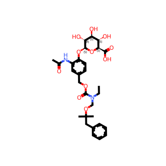 CCN(COC(C)(C)Cc1ccccc1)C(=O)OCc1ccc(O[C@@H]2O[C@H](C(=O)O)[C@@H](O)[C@H](O)[C@H]2O)c(NC(C)=O)c1